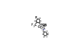 O=C(NS(=O)(=O)/C=C/c1cccnc1)c1ccc(F)cc1C(F)(F)F